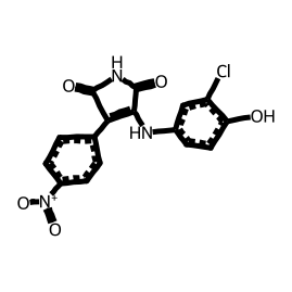 O=C1NC(=O)C(c2ccc([N+](=O)[O-])cc2)=C1Nc1ccc(O)c(Cl)c1